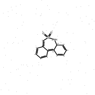 O=S1(=O)C=c2ccccc2=C2C=CC=CC2N1